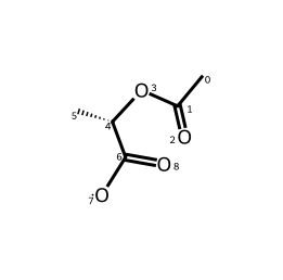 CC(=O)O[C@@H](C)C([O])=O